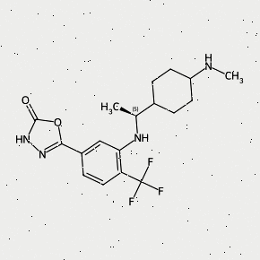 CNC1CCC([C@H](C)Nc2cc(-c3n[nH]c(=O)o3)ccc2C(F)(F)F)CC1